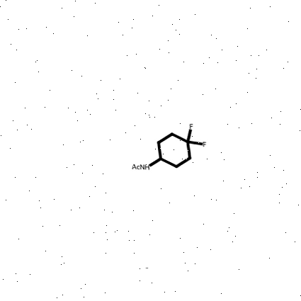 [CH2]C(=O)NC1CCC(F)(F)CC1